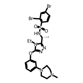 CCn1c(Oc2cccc(N3CCN(C)CC3)c2)nnc1[C@@H](C)NS(=O)(=O)c1ccc(Br)cc1Br